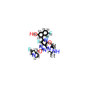 CCC1CN2c3nc(OC[C@@]45CCCN4C[C@@H](F)C5)nc4c(F)c(-c5cc(O)cc6ccc(F)c(F)c56)nc(c34)OC[C@H]2CN1